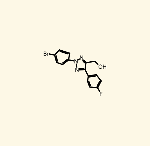 OCc1nn(-c2ccc(Br)cc2)nc1-c1ccc(F)cc1